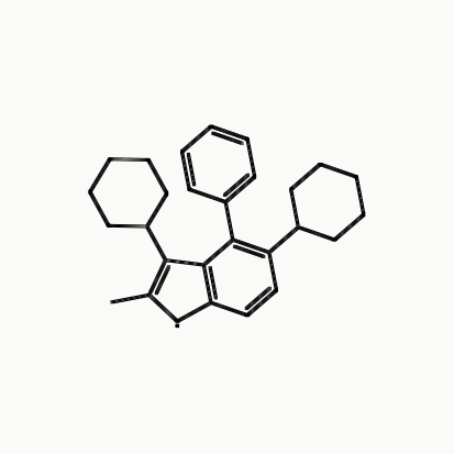 CC1=C(C2CCCCC2)c2c(ccc(C3CCCCC3)c2-c2ccccc2)[CH]1